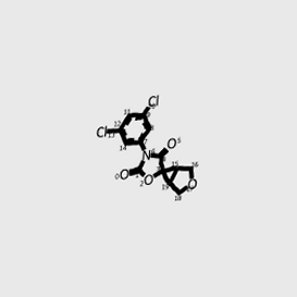 O=C1OC2(C(=O)N1c1cc(Cl)cc(Cl)c1)C1COCC12